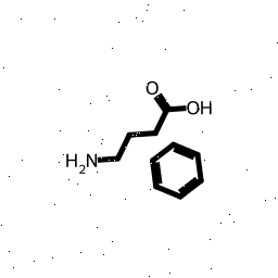 NCCCC(=O)O.c1ccccc1